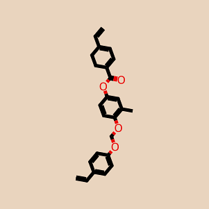 C=CC1=CC=C(C(=O)Oc2ccc(OCOc3ccc(C=C)cc3)c(C)c2)CC1